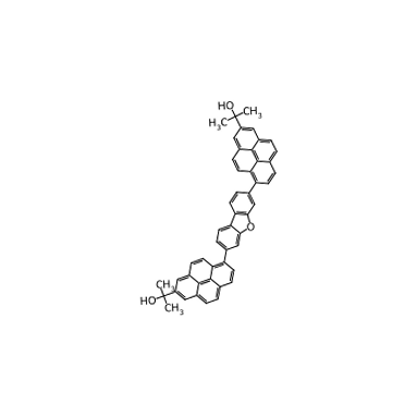 CC(C)(O)c1cc2ccc3ccc(-c4ccc5c(c4)oc4cc(-c6ccc7ccc8cc(C(C)(C)O)cc9ccc6c7c89)ccc45)c4ccc(c1)c2c34